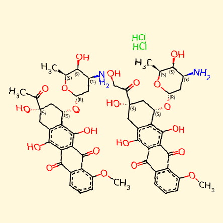 COc1cccc2c1C(=O)c1c(O)c3c(c(O)c1C2=O)C[C@@](O)(C(=O)CO)C[C@@H]3O[C@H]1C[C@H](N)[C@H](O)[C@H](C)O1.COc1cccc2c1C(=O)c1c(O)c3c(c(O)c1C2=O)C[C@@](O)(C(C)=O)C[C@@H]3O[C@H]1C[C@H](N)[C@H](O)[C@H](C)O1.Cl.Cl